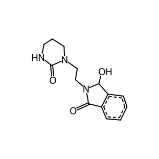 O=C1NCCCN1CCN1C(=O)c2ccccc2C1O